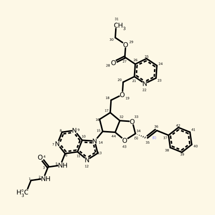 CCNC(=O)Nc1ncnc2c1ncn2C1CC(COCc2ncccc2C(=O)OCC)C2O[C@H](/C=C/c3ccccc3)OC21